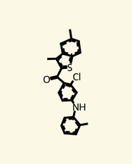 Cc1ccc2sc(C(=O)c3ccc(Nc4ccccc4C)cc3Cl)c(C)c2c1